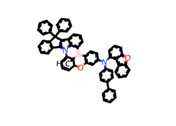 CC12B3c4ccc(N(c5ccc(-c6ccccc6)cc5)c5cccc6oc7ccccc7c56)cc4OC1C=CC=C2n1c2c(c4cccc3c41)C(c1ccccc1)(c1ccccc1)c1ccccc1-2